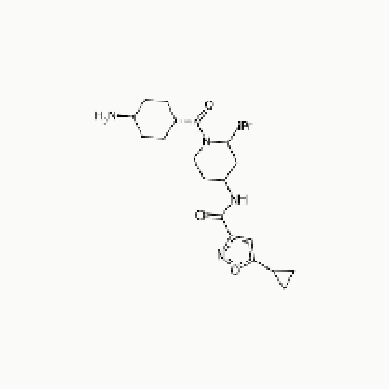 CC(C)C1CC(NC(=O)c2cc(C3CC3)on2)CCN1C(=O)[C@H]1CC[C@H](N)CC1